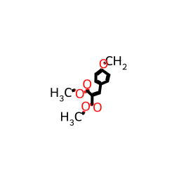 [CH2]Oc1ccc(C=C(C(=O)OCC)C(=O)OCC)cc1